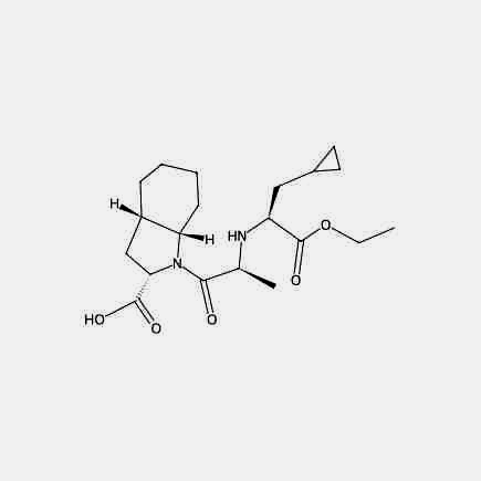 CCOC(=O)[C@H](CC1CC1)N[C@@H](C)C(=O)N1[C@H](C(=O)O)C[C@@H]2CCCC[C@@H]21